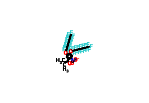 CC(C)C(=O)c1cc(OC(F)(F)C(F)(F)C(F)(F)C(F)(F)C(F)(F)C(F)(F)C(F)(F)F)c(OC(F)(F)C(F)(F)C(F)(F)C(F)(F)C(F)(F)C(F)(F)C(F)(F)F)cc1[N+](=O)[O-]